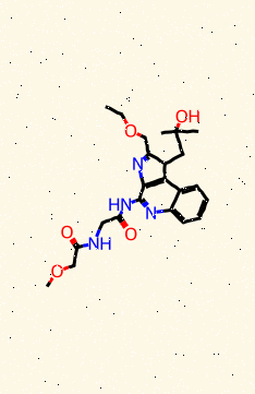 CCOCC1=Nc2c(NC(=O)CNC(=O)COC)nc3ccccc3c2C1CC(C)(C)O